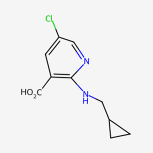 O=C(O)c1cc(Cl)cnc1NCC1CC1